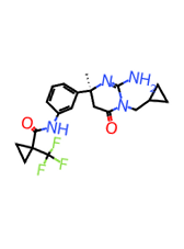 C[C@@]1(c2cccc(NC(=O)C3(C(F)(F)F)CC3)c2)CC(=O)N(CC2CC2)C(N)=N1